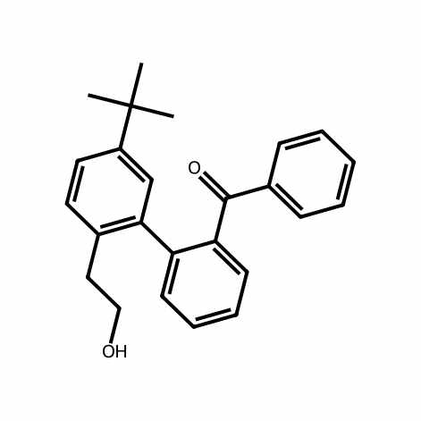 CC(C)(C)c1ccc(CCO)c(-c2ccccc2C(=O)c2ccccc2)c1